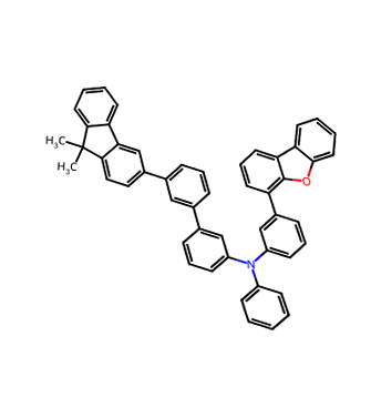 CC1(C)c2ccccc2-c2cc(-c3cccc(-c4cccc(N(c5ccccc5)c5cccc(-c6cccc7c6oc6ccccc67)c5)c4)c3)ccc21